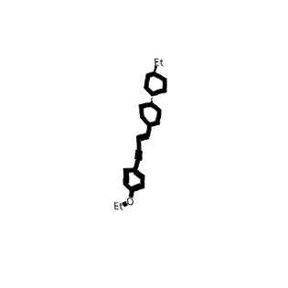 CCOc1ccc(C#C/C=C/C2CCC([C@H]3CC[C@H](CC)CC3)CC2)cc1